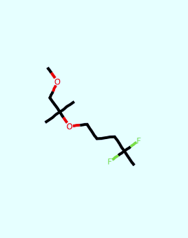 COCC(C)(C)OCCCC(C)(F)F